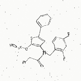 CC(C)CC(=O)N(Cc1ccc(F)cc1F)c1cc(-c2ccccc2)sc1OC(=O)O